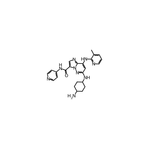 Cc1cccnc1Nc1cc(NC2CCC(N)CC2)nn2c(C(=O)Nc3ccncc3)cnc12